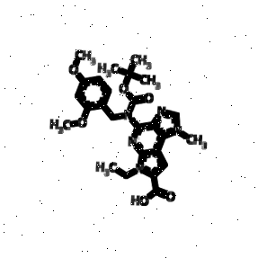 CCn1c(C(=O)O)cc2c3c(ncn3C)c(N(Cc3ccc(OC)cc3OC)C(=O)OC(C)(C)C)nc21